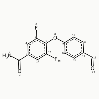 NC(=O)c1cc(F)c(Oc2ccc(C=O)cc2)c(F)c1